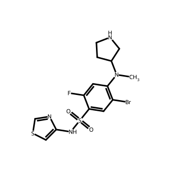 CN(c1cc(F)c(S(=O)(=O)Nc2cscn2)cc1Br)C1CCNC1